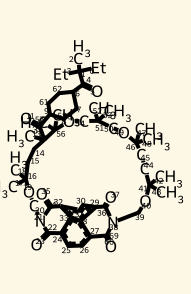 CCC(C)(CC)C(=O)C1CCC(C(=O)C2(C)CCC(C)(C)OCN3C(=O)c4ccc5c6c(ccc(c46)C3=O)C(=O)N(COC(C)(C)CCC(C)(C)OCC(C)(C)COC2(C)C)C5=O)CC1